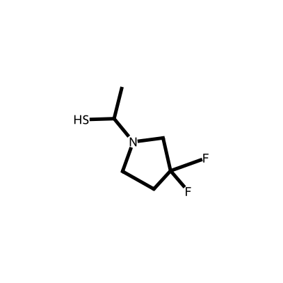 CC(S)N1CCC(F)(F)C1